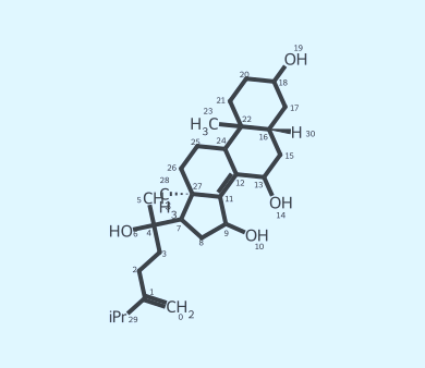 C=C(CCC(C)(O)C1CC(O)C2=C3C(O)C[C@H]4CC(O)CCC4(C)C3CC[C@@]21C)C(C)C